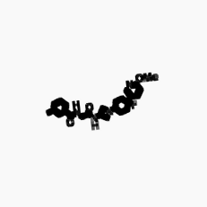 COc1ccc(C2(F)CCC(N3CC(NC(=O)CNC(=O)c4cccc(C)c4)C3)CC2)cn1